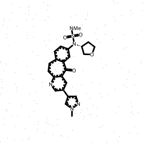 CNS(=O)(=O)N(c1ccc2ccc3ncc(-c4cnn(C)c4)cc3c(=O)c2c1)[C@@H]1CCOC1